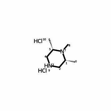 C[C@@H]1CNC[C@H](C)N1C.Cl.Cl